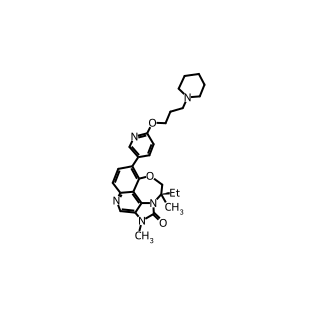 CC[C@]1(C)COc2c(-c3ccc(OCCCN4CCCCC4)nc3)ccc3ncc4c(c23)n1c(=O)n4C